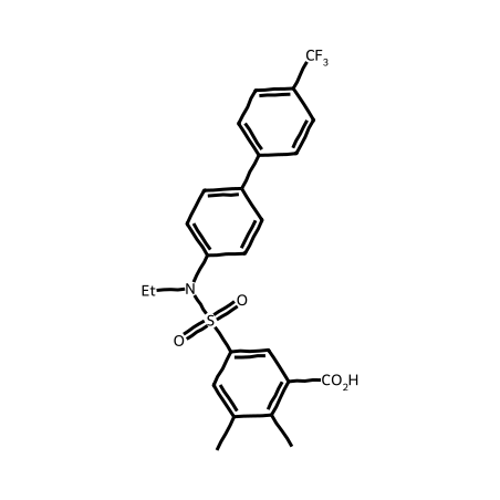 CCN(c1ccc(-c2ccc(C(F)(F)F)cc2)cc1)S(=O)(=O)c1cc(C)c(C)c(C(=O)O)c1